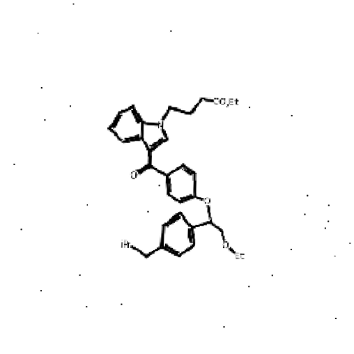 CCOCC(Oc1ccc(C(=O)c2cn(CCCC(=O)OCC)c3ccccc23)cc1)c1ccc(CC(C)C)cc1